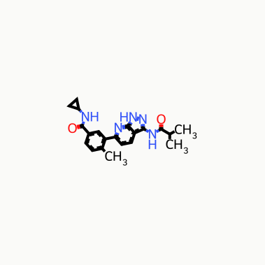 Cc1ccc(C(=O)NC2CC2)cc1-c1ccc2c(NC(=O)C(C)C)n[nH]c2n1